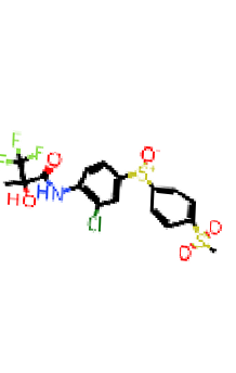 CC(O)(C(=O)Nc1ccc([S+]([O-])c2ccc(S(C)(=O)=O)cc2)cc1Cl)C(F)(F)F